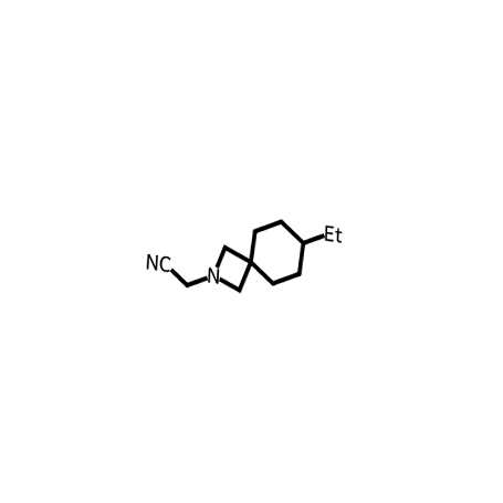 CCC1CCC2(CC1)CN(CC#N)C2